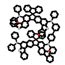 c1ccc(N(c2ccccc2)c2cc3cc4c(cc3c3c2oc2ccccc23)-c2c(cc(N(c3ccccc3)c3ccc(-c5cccc(N(c6ccccc6)c6cc7cc8c(cc7c7c6oc6ccccc67)-c6c(cc(N(c7ccccc7)c7ccccc7)c7c6ccc6oc9ccccc9c67)C86c7ccccc7-c7ccccc76)c5)cc3)c3c2ccc2c5ccccc5oc23)C42c3ccccc3-c3ccccc32)cc1